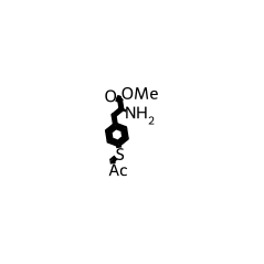 COC(=O)[C@@H](N)Cc1ccc(SCC(C)=O)cc1